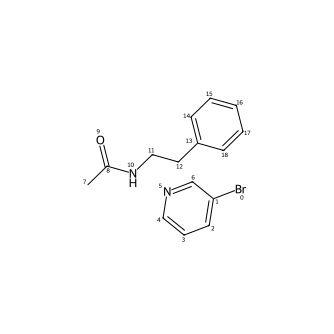 Brc1cccnc1.CC(=O)NCCc1ccccc1